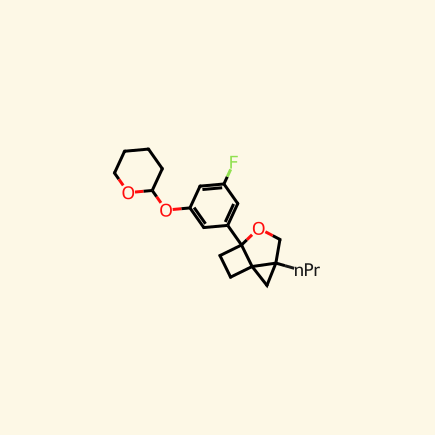 CCCC12COC3(c4cc(F)cc(OC5CCCCO5)c4)CCC13C2